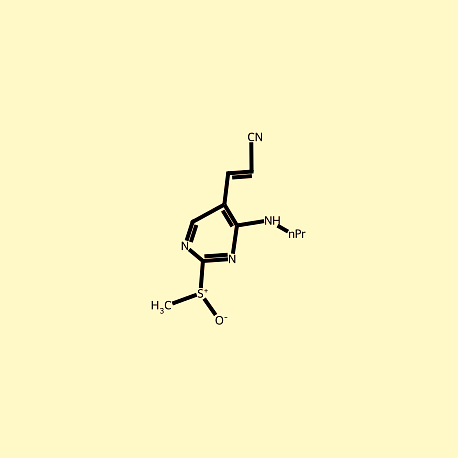 CCCNc1nc([S+](C)[O-])ncc1/C=C/C#N